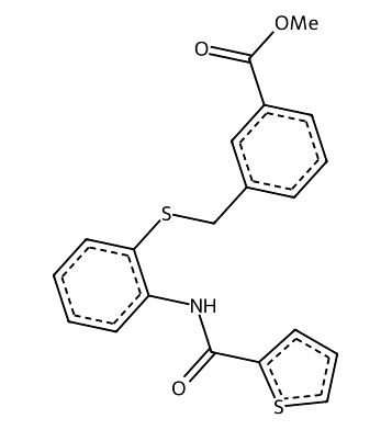 COC(=O)c1cccc(CSc2ccccc2NC(=O)c2cccs2)c1